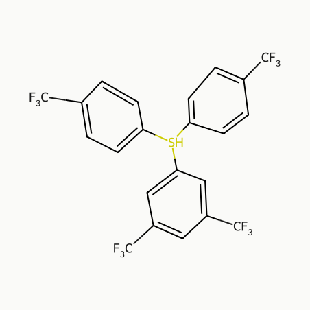 FC(F)(F)c1ccc([SH](c2ccc(C(F)(F)F)cc2)c2cc(C(F)(F)F)cc(C(F)(F)F)c2)cc1